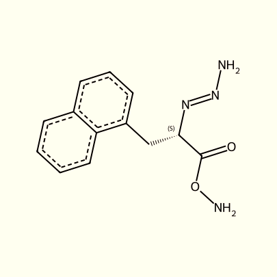 NN=N[C@@H](Cc1cccc2ccccc12)C(=O)ON